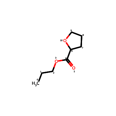 CCCOC(=O)C1CCCO1